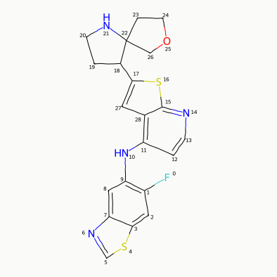 Fc1cc2scnc2cc1Nc1ccnc2sc(C3CCNC34CCOC4)cc12